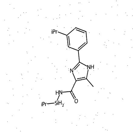 Cc1[nH]c(-c2cccc(C(C)C)c2)nc1C(=O)N[SiH2]C(C)C